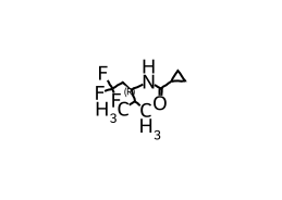 CC(C)[C@@H](CC(F)(F)F)NC(=O)C1CC1